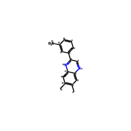 Cc1cc2ncc(-c3cccc([N+](=O)[O-])c3)nc2cc1C